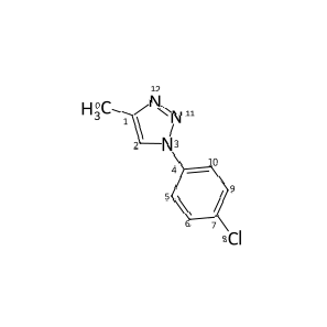 Cc1cn(-c2ccc(Cl)cc2)nn1